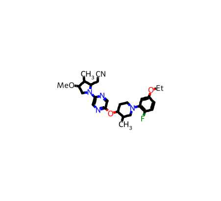 CCOc1ccc(F)c(N2CCC(Oc3cnc(N4CC(OC)C(C)C4CC#N)cn3)C(C)C2)c1